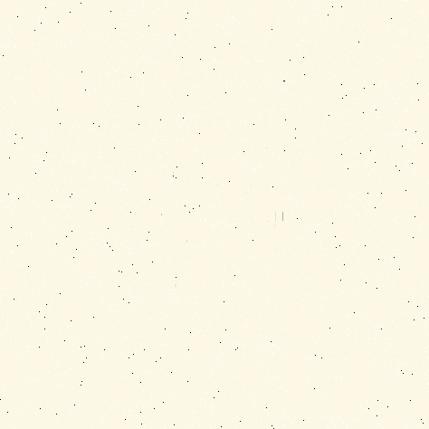 CC1(C(=O)O)CS[S+]([O-])C1